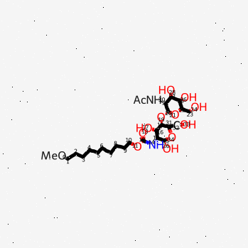 COCCCCCCCCCCOC(=O)N[C@@H]1C(O)[C@@H](O[C@H]2OC(CO)[C@H](O)C(O)[C@H]2NC(C)=O)C(CO)O[C@@H]1O